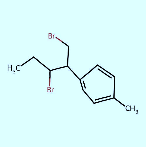 CCC(Br)C(CBr)c1ccc(C)cc1